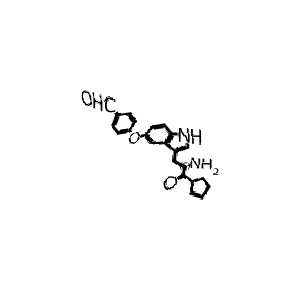 N[C@@H](Cc1c[nH]c2ccc(Oc3ccc(C=O)cc3)cc12)C(=O)C1CCCC1